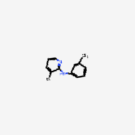 CCc1cccnc1Nc1cccc(C(F)(F)F)c1